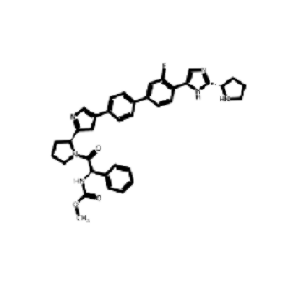 COC(=O)N[C@@H](C(=O)N1CCC[C@H]1C1=NC=C(c2ccc(-c3ccc(-c4cnc([C@@H]5CCCN5)[nH]4)c(F)c3)cc2)C1)c1ccccc1